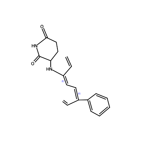 C=C/C(=C\C=C(/C=C)c1ccccc1)NC1CCC(=O)NC1=O